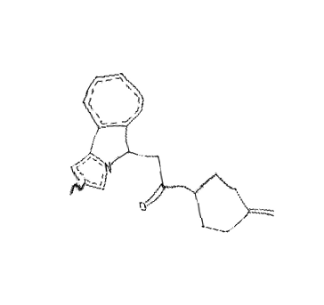 C=C1CCC(C(=O)CC2c3ccccc3-c3cncn32)CC1